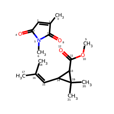 CC1=CC(=O)N(C)C1=O.COC(=O)C1C(C=C(C)C)C1(C)C